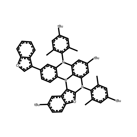 Cc1cc(C(C)(C)C)cc(C)c1N1c2cc(-c3coc4ccccc34)ccc2B2c3c1cc(C(C)(C)C)cc3N(c1c(C)cc(C(C)(C)C)cc1C)c1oc3ccc(C(C)(C)C)cc3c12